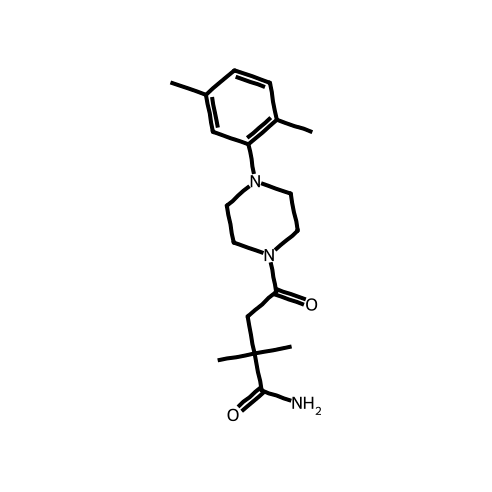 Cc1ccc(C)c(N2CCN(C(=O)CC(C)(C)C(N)=O)CC2)c1